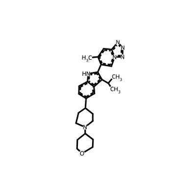 Cc1cc2nnnn2cc1-c1[nH]c2ccc(C3CCN(C4CCOCC4)CC3)cc2c1C(C)C